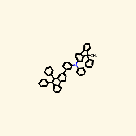 CC1(c2ccccc2)c2ccccc2-c2ccc(N(c3ccccc3)c3cccc(-c4ccc5c(c4)c(-c4ccccc4)c(-c4ccccc4)c4ccccc45)c3)cc21